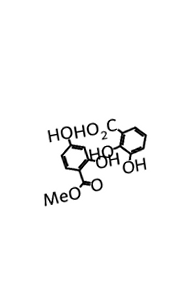 COC(=O)c1ccc(O)cc1O.O=C(O)c1cccc(O)c1O